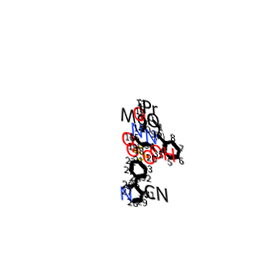 COC[C@@H](c1ccccc1)n1c(COC(C)C)nc(=O)c(S(=O)(=O)c2ccc(-c3cnccc3C#N)cc2)c1O